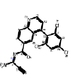 C#C/C(N)=N\C(=O)c1ccc2nccc(-c3c(Cl)cc(Cl)cc3Cl)c2c1